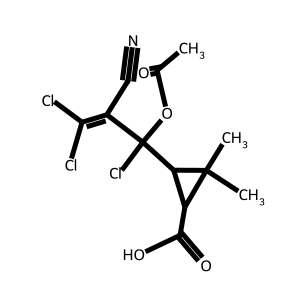 CC(=O)OC(Cl)(C(C#N)=C(Cl)Cl)C1C(C(=O)O)C1(C)C